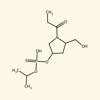 CCC(=O)N1CC(OP(O)(=S)OC(C)C)CC1CO